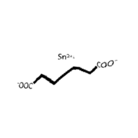 O=C([O-])CCCCC(=O)[O-].[Sn+2]